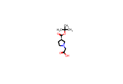 CC(C)(C)OC(=O)[C@@H]1CCN(CC(=O)O)C1